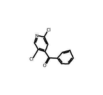 O=C(c1ccccc1)c1cc(Cl)ncc1Cl